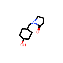 O=C1CCCN1CC1CCC(O)CC1